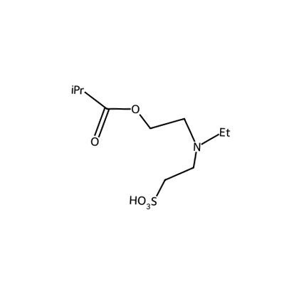 CCN(CCOC(=O)C(C)C)CCS(=O)(=O)O